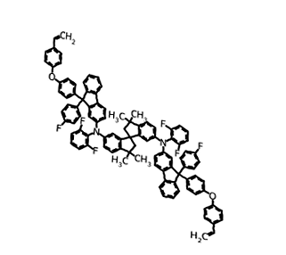 C=Cc1ccc(Oc2ccc(C3(c4ccc(F)cc4)c4ccccc4-c4ccc(N(c5ccc6c(c5)C5(CC6(C)C)CC(C)(C)c6ccc(N(c7ccc8c(c7)C(c7ccc(F)cc7)(c7ccc(Oc9ccc(C=C)cc9)cc7)c7ccccc7-8)c7c(F)cccc7F)cc65)c5c(F)cccc5F)cc43)cc2)cc1